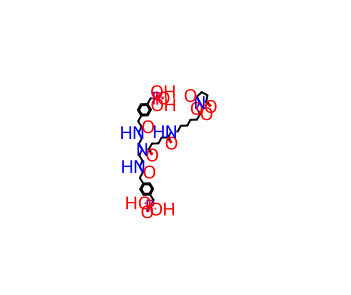 O=C(CCCC(=O)N(CCNC(=O)Cc1ccc(CP(=O)(O)O)cc1)CCNC(=O)Cc1ccc(CP(=O)(O)O)cc1)NCCCCCC(=O)ON1C(=O)CCC1=O